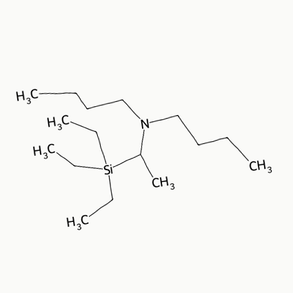 CCCCN(CCCC)C(C)[Si](CC)(CC)CC